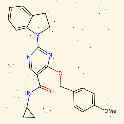 COc1ccc(COc2nc(N3CCc4ccccc43)ncc2C(=O)NC2CC2)cc1